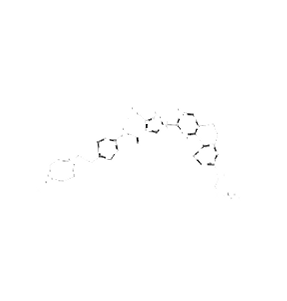 COCOc1ccc2c(c1)CCc1cnc(-n3cc(C(=O)Nc4ccc(CCN5CCN(C)CC5)cc4)c(N)n3)nc1-2